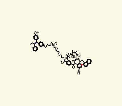 CC/C(=C(\c1ccc(O)cc1)c1ccc(OCCN(C)C(=O)COCCOCCNC(=O)c2ccc(C(=O)N3c4cc(C#N)ccc4N(Cc4c(OC)ccc5ccccc45)C(=O)[C@@H](NC(=O)[C@H](C)N(C)C(=O)OC(C)(C)C)[C@@H]3C)cc2)cc1)c1ccccc1